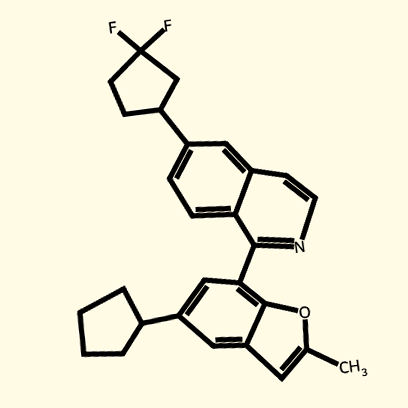 Cc1cc2cc(C3CCCC3)cc(-c3nccc4cc(C5CCC(F)(F)C5)ccc34)c2o1